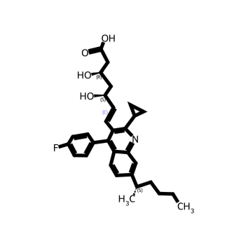 CCCC[C@H](C)c1ccc2c(-c3ccc(F)cc3)c(/C=C/[C@@H](O)C[C@@H](O)CC(=O)O)c(C3CC3)nc2c1